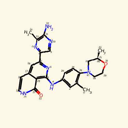 Cc1cc(Nc2nc(-c3cnc(N)c(C)n3)cc3cc[nH]c(=O)c23)ccc1N1CCO[C@H](C)C1